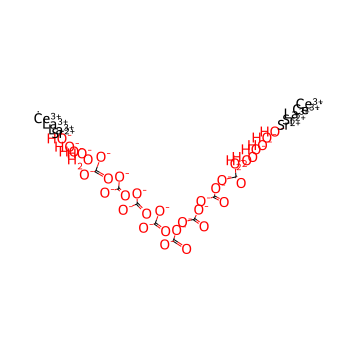 O.O.O.O=C([O-])[O-].O=C([O-])[O-].O=C([O-])[O-].O=C([O-])[O-].O=C([O-])[O-].O=C([O-])[O-].O=C([O-])[O-].O=C([O-])[O-].[Ce+3].[Ce+3].[Ce+3].[La+3].[La+3].[La+3].[OH-].[OH-].[OH-].[OH-].[OH-].[OH-].[OH-].[OH-].[Sr+2].[Sr+2].[Sr+2]